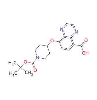 CC(C)(C)OC(=O)N1CCC(Oc2ccc(C(=O)O)c3nccnc23)CC1